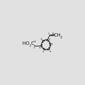 C=Cc1cccc(CC(=O)O)c1